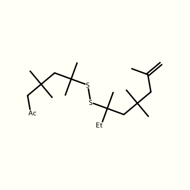 C=C(C)CC(C)(C)CC(C)(CC)SSC(C)(C)CC(C)(C)CC(C)=O